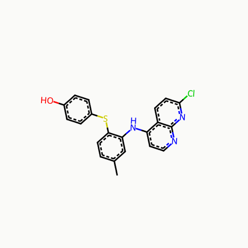 Cc1ccc(Sc2ccc(O)cc2)c(Nc2ccnc3nc(Cl)ccc23)c1